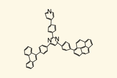 c1ccc2c(c1)cc(-c1ccc(-c3cc(-c4ccc(-c5ccc6ccc7cccc8ccc5c6c78)cc4)nc(-c4ccc(-c5ccncc5)cc4)n3)cc1)c1ccccc12